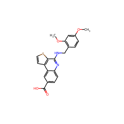 COc1ccc(CNc2nc3ccc(C(=O)O)cc3c3ccsc23)c(OC)c1